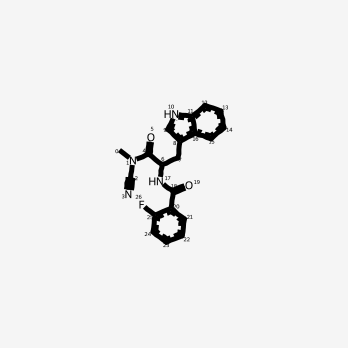 CN(C#N)C(=O)C(Cc1c[nH]c2ccccc12)NC(=O)c1ccccc1F